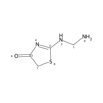 NCNC1=NC(=O)CS1